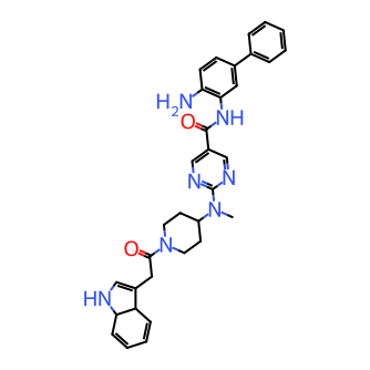 CN(c1ncc(C(=O)Nc2cc(-c3ccccc3)ccc2N)cn1)C1CCN(C(=O)CC2=CNC3C=CC=CC23)CC1